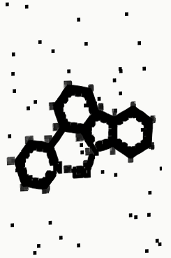 CC(C)(C)n1c2ccccc2c2cccc(-c3ccccn3)c21